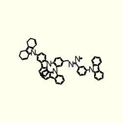 C=N/C(=N\Cc1ccc(-n2c3ccccc3c3cc(-n4c5c(c6c4C=CCC6)CCC=C5)ccc32)c(-n2c3ccccc3c3ccccc32)c1)c1cccc(-n2c3ccccc3c3ccccc32)c1